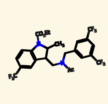 CCOC(=O)N1c2ccc(C(F)(F)F)cc2C(CN(Cc2cc(C(F)(F)F)cc(C(F)(F)F)c2)C(C)=O)C1C